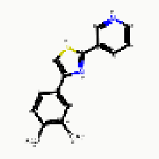 CC(=O)Oc1ccc(-c2csc(-c3cccnc3)n2)cc1OC(C)=O